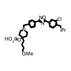 COCCCCC1(OC(=O)O)CCN(Cc2ccc(-c3noc(-c4ccc(CC(C)C)c(Cl)c4)n3)cc2)CC1